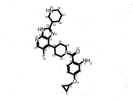 Nc1cc(OC2CC2)ccc1C(=O)N1CCC(c2c(F)cnc3[nH]c(C4CCCNC4)nc23)CC1